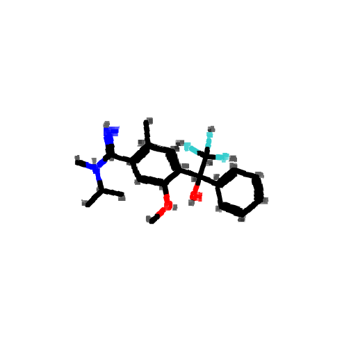 COc1cc(C(=N)N(C)C(C)C)c(C)cc1C(O)(c1ccccc1)C(F)(F)F